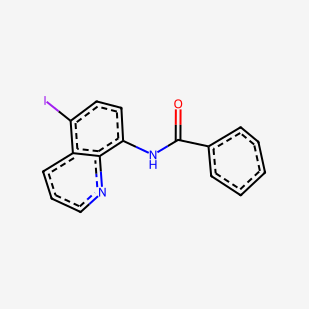 O=C(Nc1ccc(I)c2cccnc12)c1ccccc1